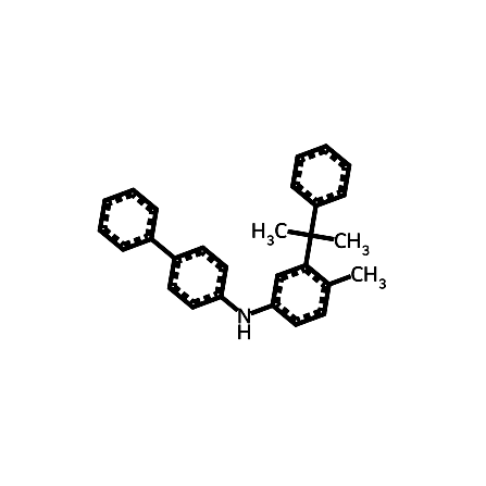 Cc1ccc(Nc2ccc(-c3ccccc3)cc2)cc1C(C)(C)c1ccccc1